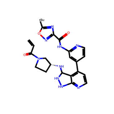 C=CC(=O)N1CC[C@@H](NC2NNc3nccc(-c4ccnc(NC(=O)c5noc(C(C)(C)C)n5)c4)c32)C1